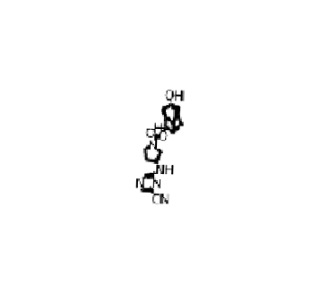 N#Cc1cncc(N[C@@H]2CCN(C(=O)O[C@H]3C4CC5CC3C[C@](O)(C5)C4)C2)n1